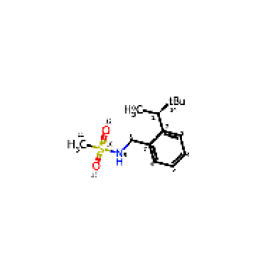 C[C@H](c1ccccc1CNS(C)(=O)=O)C(C)(C)C